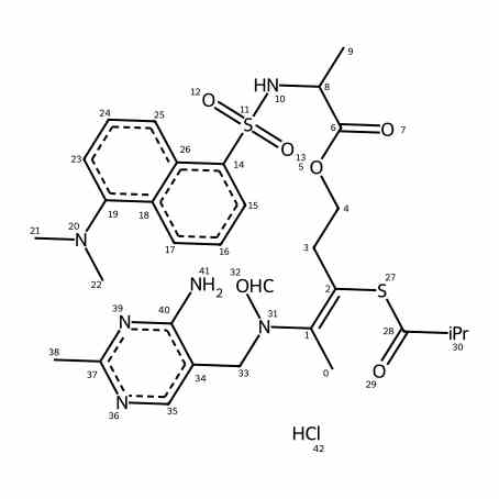 CC(=C(CCOC(=O)C(C)NS(=O)(=O)c1cccc2c(N(C)C)cccc12)SC(=O)C(C)C)N(C=O)Cc1cnc(C)nc1N.Cl